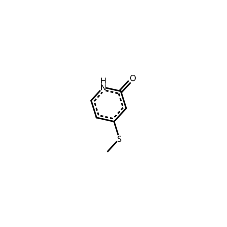 CSc1cc[nH]c(=O)c1